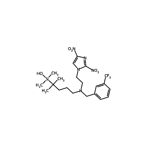 CC(C)(CCCN(CCn1cc([N+](=O)[O-])nc1[N+](=O)[O-])Cc1cccc(C(F)(F)F)c1)[Si](C)(C)O